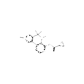 CN1c2c(ccnc2NC(=O)C2CC2)-c2nn(C)nc2C1(C)C